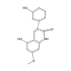 COc1cc(O)c2cc(-c3cccc(O)c3)c(=O)[nH]c2c1